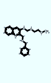 COCCOCOc1cc2ccccc2nc1COCc1ccccc1